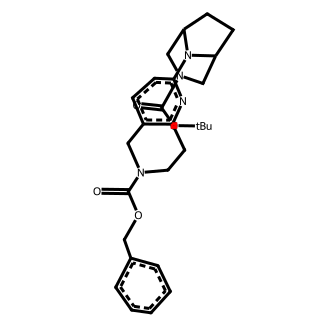 CC(C)(C)OC(=O)N1CC2CCC(C1)N2c1ccc2c(n1)CCN(C(=O)OCc1ccccc1)C2